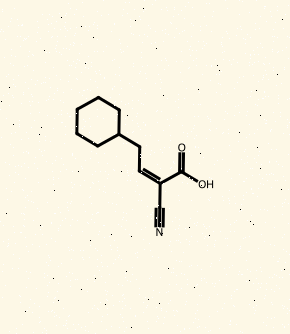 N#CC(=CCC1CCCCC1)C(=O)O